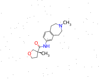 CN1CCc2ccc(NC(=O)[C@]3(C)CCOC3)cc2CC1